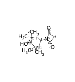 CC1(C)CC(N2C(=O)CC2=O)CC(C)(C)N1O